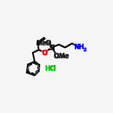 C=CC(Cc1ccccc1)O[Si](CCCN)(OC)OC.Cl